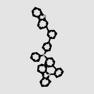 c1ccc(N(c2ccc(-c3cccc(-c4ccc5c(c4)oc4ccccc45)c3)cc2)c2ccc(-c3ccccc3-n3c4ccccc4c4ccccc43)cc2)cc1